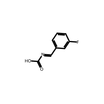 O=C(O)N=Cc1cccc(F)c1